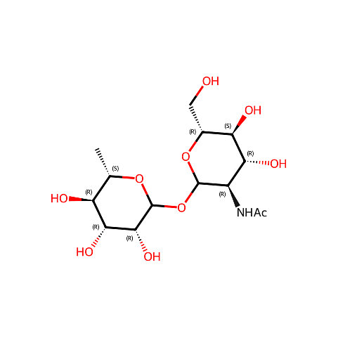 CC(=O)N[C@H]1C(OC2O[C@@H](C)[C@H](O)[C@@H](O)[C@H]2O)O[C@H](CO)[C@@H](O)[C@@H]1O